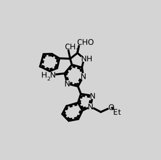 CCOCn1nc(-c2nc(N)c3c(n2)NC(C=O)C3(C)c2ccccc2)c2ccccc21